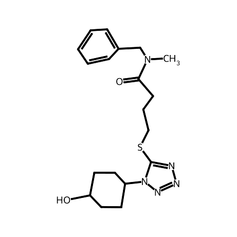 CN(Cc1ccccc1)C(=O)CCCSc1nnnn1C1CCC(O)CC1